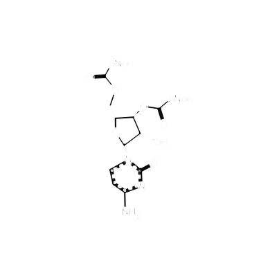 CCCCCCCCCC(=O)OC[C@H]1O[C@@H](n2ccc(N)nc2=O)[C@@H](O)[C@@H]1OC(=O)CCCCCCCCC